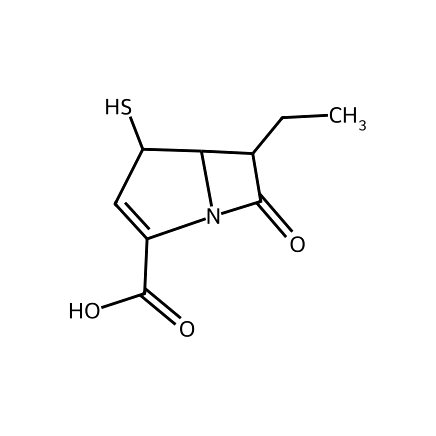 CCC1C(=O)N2C(C(=O)O)=CC(S)C12